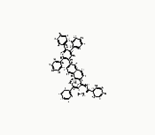 C=C(/N=C(\C=C(/N)C1=CC=CCC1)c1ccc2cc(-c3cc(-c4ccccc4)c(-c4ccccc4)nc3-c3ccccc3)ccc2c1)C1C=CC=CC1